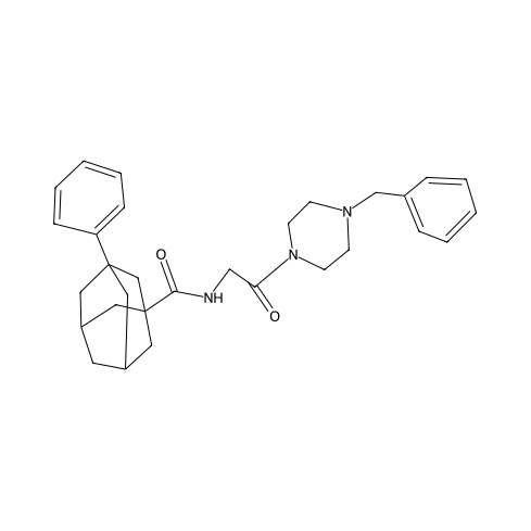 O=C(CNC(=O)C12CC3CC(C1)CC(c1ccccc1)(C3)C2)N1CCN(Cc2ccccc2)CC1